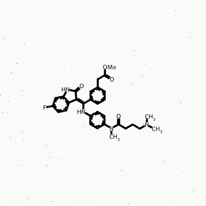 COC(=O)Cc1cccc(C(Nc2ccc(N(C)C(=O)CCCN(C)C)cc2)=C2C(=O)Nc3cc(F)ccc32)c1